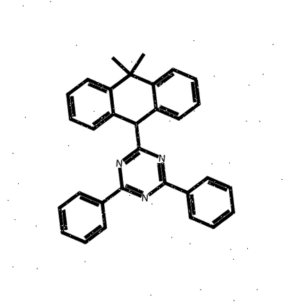 CC1(C)c2ccccc2C(c2nc(-c3ccccc3)nc(-c3ccccc3)n2)c2ccccc21